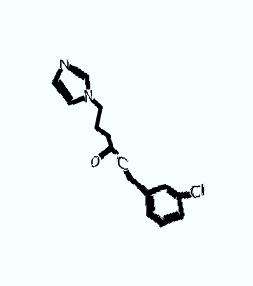 O=C(CCCn1ccnc1)CCc1cccc(Cl)c1